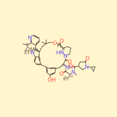 CCn1c(-c2cccnc2[C@H](C)OC)c2c3cc(ccc31)-c1cc(O)cc(c1)C[C@H](NC(=O)[C@H](C(C)C)N(C)C(=O)C1CC(=O)N(C3CC3)C1)C(=O)N1CCC[C@H](N1)C(=O)OCC(C)(C)C2